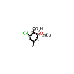 CCCCOc1cc(C)cc(Cl)c1C(=O)O